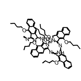 C=NC1=NC(Nc2c3c(OCCCC)c4ccccc4cc3c3n2[Si](OCCCC)(OCCCC)N2Cc4cc5ccccc5c(OCCCC)c4/C2=N/C2N/C(=N\3)c3c2cc2ccccc2c3OCCCC)c2cc3ccccc3c(OCCCC)c21